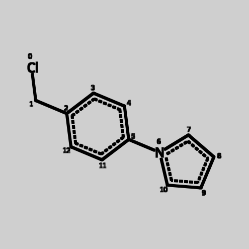 ClCc1ccc(-n2cccc2)cc1